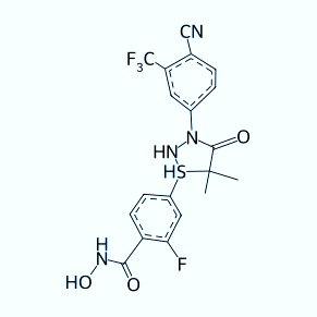 CC1(C)C(=O)N(c2ccc(C#N)c(C(F)(F)F)c2)N[SH]1c1ccc(C(=O)NO)c(F)c1